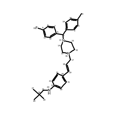 Cc1ccc(C(c2ccc(F)cc2)N2CCN(C/C=C/c3ccc(NCC(C)(C)C)cc3)CC2)cc1